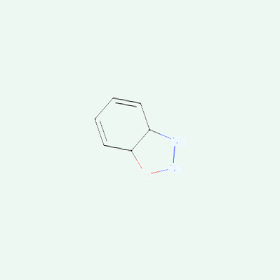 C1=CC2NNOC2C=C1